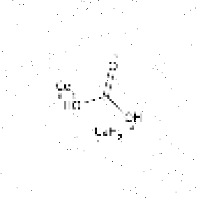 O=C(O)O.[CaH2].[Ce]